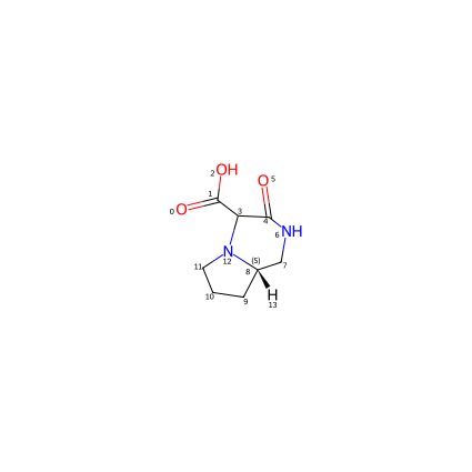 O=C(O)C1C(=O)NC[C@@H]2CCCN12